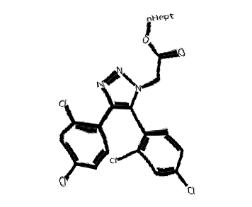 CCCCCCCOC(=O)Cn1nnc(-c2ccc(Cl)cc2Cl)c1-c1ccc(Cl)cc1Cl